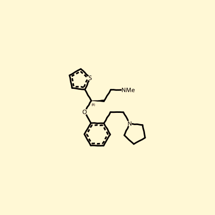 CNCC[C@@H](Oc1ccccc1CCN1CCCC1)c1cccs1